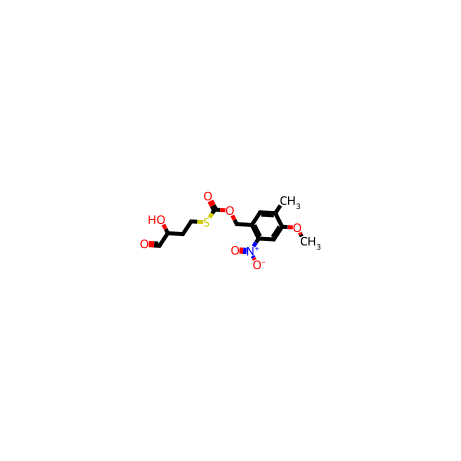 COc1cc([N+](=O)[O-])c(COC(=O)SCCC(O)C=O)cc1C